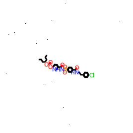 CCCC(CCC)OC(=O)Oc1ccc(C(=O)NS(=O)(=O)c2ccc(C(=O)NCCc3ccc(Cl)cc3)cc2)cn1